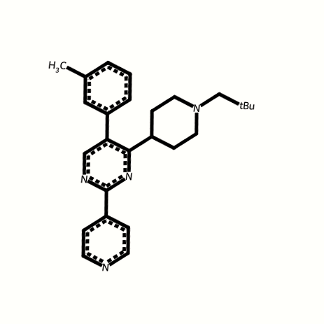 Cc1cccc(-c2cnc(-c3ccncc3)nc2C2CCN(CC(C)(C)C)CC2)c1